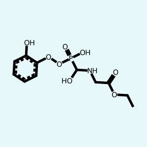 CCOC(=O)CNC(O)P(=O)(O)OOc1ccccc1O